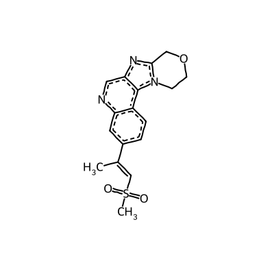 C/C(=C\S(C)(=O)=O)c1ccc2c(c1)ncc1nc3n(c12)CCOC3